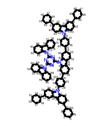 c1ccc(-c2ccc3c(c2)c2cc(-c4ccccc4)ccc2n3-c2ccc(-c3ccc4c5ccc(-c6ccc(-n7c8ccc(-c9ccccc9)cc8c8cc(-c9ccccc9)ccc87)cc6)cc5n(-c5nc(-n6c7ccccc7c7ccccc76)nc(-n6c7ccccc7c7ccccc76)n5)c4c3)cc2)cc1